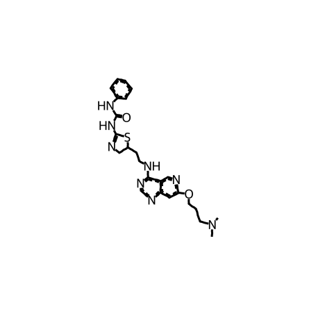 CN(C)CCCOc1cc2ncnc(NCCC3CN=C(NC(=O)Nc4ccccc4)S3)c2cn1